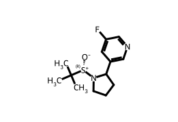 CC(C)(C)[S@+]([O-])N1CCCC1c1cncc(F)c1